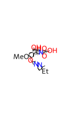 CCc1ccc(N2CC(Oc3cc([C@@H]4CN(C(=O)[C@@H](O)CO)C[C@@]4(C)[C@@H](C)O)ccc3OC)C2)nc1C